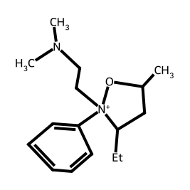 CCC1CC(C)O[N+]1(CCN(C)C)c1ccccc1